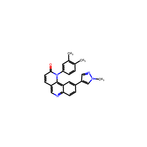 Cc1ccc(-n2c(=O)ccc3cnc4ccc(-c5cnn(C)c5)cc4c32)cc1C